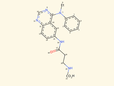 CCN(c1ccccc1)c1ncnc2ccc(NC(=O)CCNC(=O)O)cc12